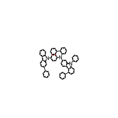 c1ccc(-c2ccc3c4ccccc4n(-c4ccc(N(c5ccc6c7c(-c8ccccc8)cccc7n(-c7ccccc7)c6c5)c5ccccc5-c5ccccc5)cc4)c3c2)cc1